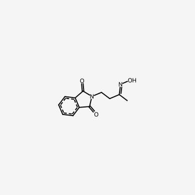 CC(CCN1C(=O)c2ccccc2C1=O)=NO